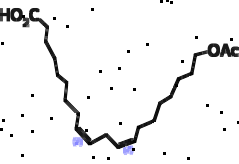 CC(=O)OCCCCCCC/C=C\C/C=C\CCCCCCCC(=O)O